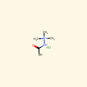 CCCC(=O)N[N+](C)(C)C.Cl